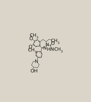 CCC1Cc2cc(OC)c(OC)cc2C(c2ccc(N3CCC(O)CC3)cc2)=NN1C(=O)NC